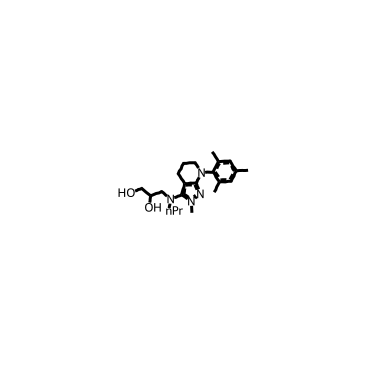 CCCN(CC(O)CO)c1c2c(nn1C)N(c1c(C)cc(C)cc1C)CCC2